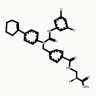 COC(=O)[C@@H](F)CNC(=O)c1ccc(CN(C(=O)Nc2cc(Cl)cc(Cl)c2)c2ccc(C3=CCCCC3)cc2)cc1